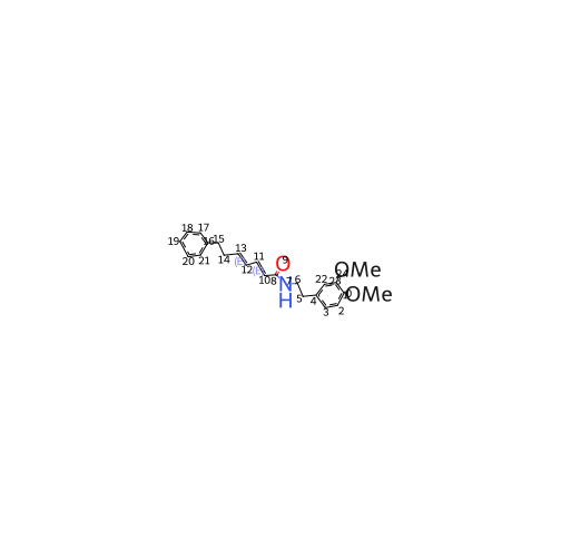 COc1ccc(CCNC(=O)/C=C/C=C/CCc2ccccc2)cc1OC